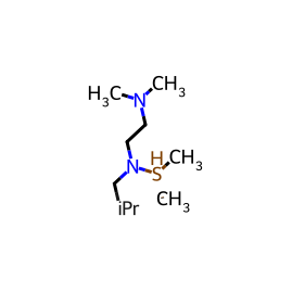 CC(C)CN(CCN(C)C)[SH](C)C